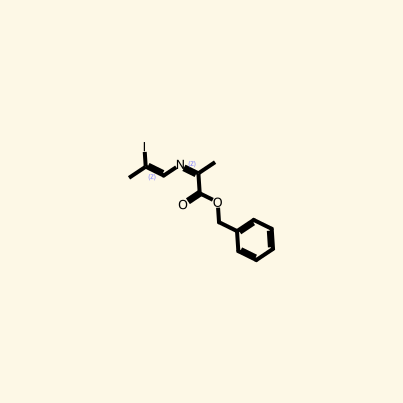 C/C(I)=C/N=C(/C)C(=O)OCc1ccccc1